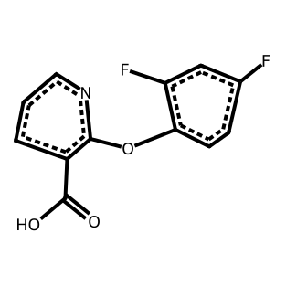 O=C(O)c1cccnc1Oc1ccc(F)cc1F